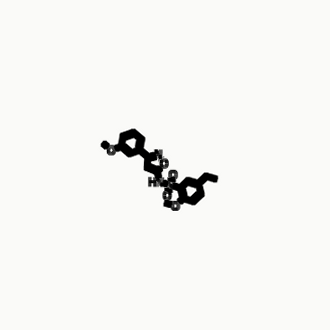 CCc1ccc(OC)c(S(=O)(=O)Nc2cc(-c3cccc(OC)c3)no2)c1